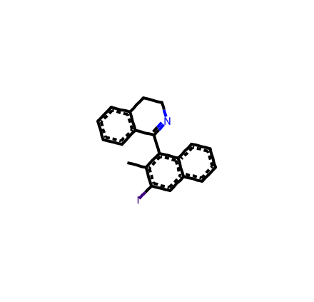 Cc1c(I)cc2ccccc2c1C1=NCCc2ccccc21